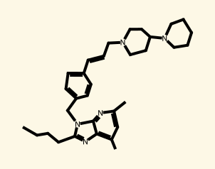 CCCCc1nc2c(C)cc(C)nc2n1Cc1ccc(C=CCN2CCC(N3CCCCC3)CC2)cc1